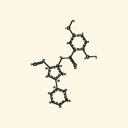 COc1ccc(OC)c(C(=O)Cn2nc(-c3cccnc3)cc2C=O)c1